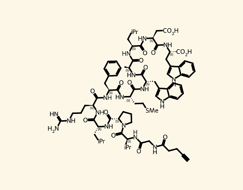 C#CCCC(=O)NCC(=O)N[C@H](C(=O)N1CCC[C@H]1C(=O)N[C@H](CC(C)C)C(=O)N[C@@H](CCCNC(=N)N)C(=O)N[C@@H](Cc1ccccc1)C(=O)N[C@@H](CCSC)C(=O)N[C@@H](Cc1c[nH]c2ccccc12)C(=O)N[C@@H](C)C(=O)N[C@@H](CC(C)C)C(=O)N[C@@H](CC(=O)O)C(=O)N[C@@H](Cc1c[nH]c2ccccc12)C(=O)O)C(C)C